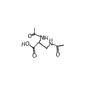 CC(=O)NCC(NC(C)=O)C(=O)O